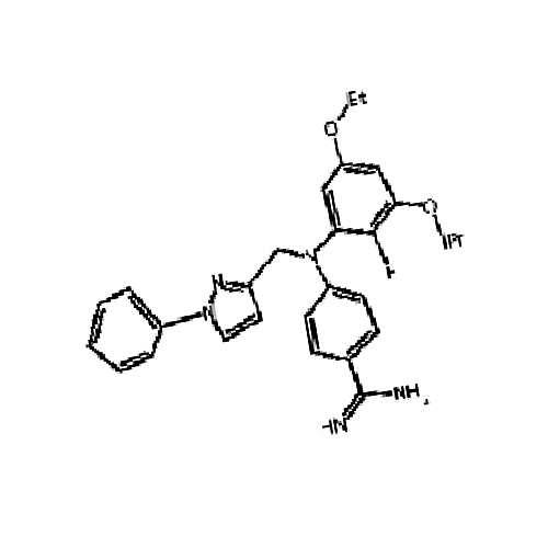 CCOc1cc(OC(C)C)c(F)c(N(Cc2ccn(-c3ccccc3)n2)c2ccc(C(=N)N)cc2)c1